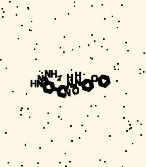 Nc1n[nH]c2ccc(-c3ccnc(NC(=O)Nc4cccc(Oc5ccccc5)c4)c3)cc12